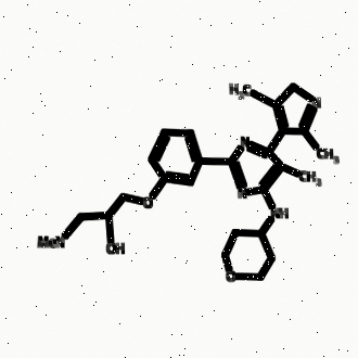 CNCC(O)COc1cccc(-c2nc(NC3CCOCC3)c(C)c(C3=C(C)CN=C3C)n2)c1